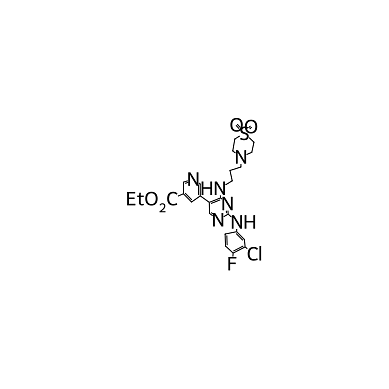 CCOC(=O)c1cncc(-c2cnc(Nc3ccc(F)c(Cl)c3)nc2NCCCN2CCS(=O)(=O)CC2)c1